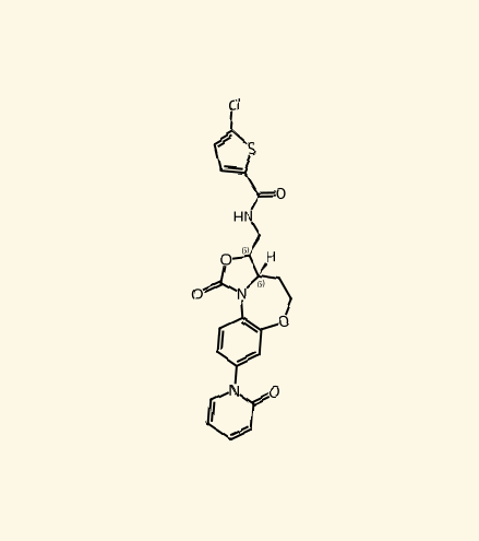 O=C(NC[C@@H]1OC(=O)N2c3ccc(-n4ccccc4=O)cc3OCC[C@@H]12)c1ccc(Cl)s1